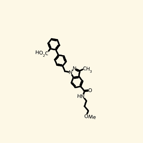 COCCCNC(=O)c1ccc2c(c1)c(C)nn2Cc1ccc(-c2ccccc2C(=O)O)cc1